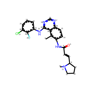 Cc1c(NC(=O)C=CC2CCCN2C)ccc2ncnc(Nc3cccc(Cl)c3F)c12